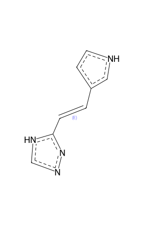 C(=C\c1nnc[nH]1)/c1cc[nH]c1